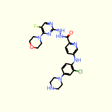 O=C(NNc1ncc(F)c(N2CCOCC2)n1)c1ccc(Nc2ccc(N3CCNCC3)cc2Cl)cn1